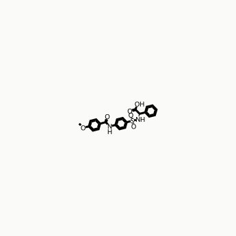 COc1ccc(C(=O)Nc2ccc(S(=O)(=O)N[C@H](C(=O)O)c3ccccc3)cc2)cc1